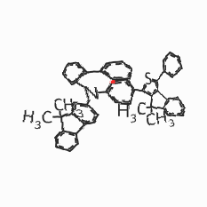 CC1(C)c2ccccc2-c2ccc(N(c3ccc(-c4sc(-c5ccccc5)c5c4C(C)(C)c4ccccc4-5)cc3)c3ccccc3-c3ccccc3)cc21